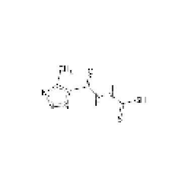 Cc1nnsc1C(=O)NNC(=S)S